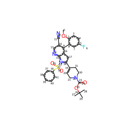 COc1ccc(F)cc1-c1c(C#N)cnc2c1cc(C1=CCN(C(=O)OC(C)(C)C)CC1)n2S(=O)(=O)c1ccccc1